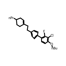 CCCCOc1ccc(-c2ccc(CCC3=CCC(CCC)CC3)cc2)c(F)c1Cl